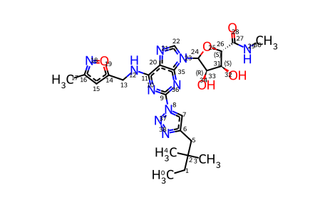 CCC(C)(C)Cc1cn(-c2nc(NCc3cc(C)no3)c3ncn(C4O[C@H](C(=O)NC)[C@@H](O)[C@H]4O)c3n2)nn1